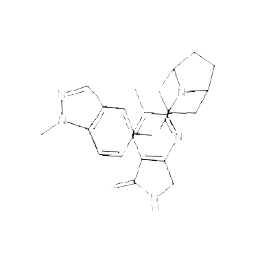 Cc1cc2c(nc1N1C3CCC1CC(Oc1ccc4c(cnn4C)c1)C3)CNC2=O